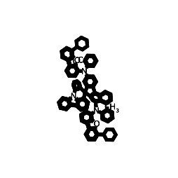 Cc1ccccc1N(c1ccc2c(c1)C1(c3ccccc3-n3c4ccccc4c4cccc1c43)c1cc(N(c3ccccc3C)c3cccc4c3oc3c(C5CCCCC5)cccc34)c3ccccc3c1-2)c1cccc2c1oc1c(C3CCCCC3)cccc12